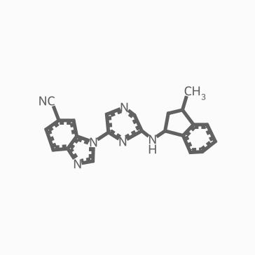 CC1CC(Nc2cncc(-n3cnc4ccc(C#N)cc43)n2)c2ccccc21